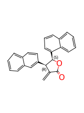 C=C1C(=O)O[C@H](c2cccc3ccccc23)[C@@H]1c1ccc2ccccc2c1